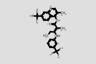 CC/C(Nc1cccc(C(F)(F)F)c1)=C(/C)C(=O)Oc1c(C)cnc2cc(C(F)(F)F)ccc12